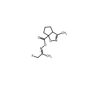 CC1=NOC2(C(=O)O/N=C(\C)CF)CCCC12